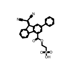 N#CC(C#N)=C1c2ccccc2-c2c(C(=O)OCCS(=O)(=O)O)cc(-c3ccccc3)cc21